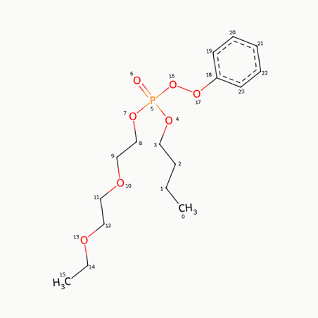 CCCCOP(=O)(OCCOCCOCC)OOc1ccccc1